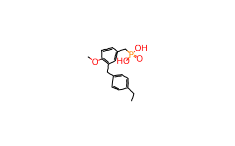 CCc1ccc(Cc2cc(CP(=O)(O)O)ccc2OC)cc1